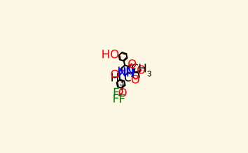 CC1OCC(=O)C1(C)NC(=O)C(CNC(=O)c1ccc(OC(F)(F)F)cc1)c1cccc(O)c1